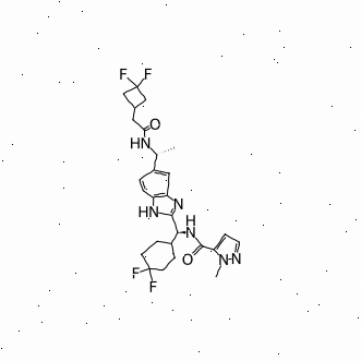 C[C@@H](NC(=O)CC1CC(F)(F)C1)c1ccc2[nH]c([C@@H](NC(=O)c3ccnn3C)C3CCC(F)(F)CC3)nc2c1